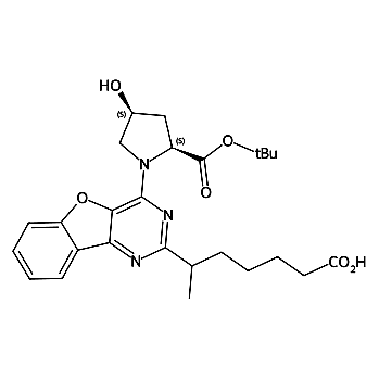 CC(CCCCC(=O)O)c1nc(N2C[C@@H](O)C[C@H]2C(=O)OC(C)(C)C)c2oc3ccccc3c2n1